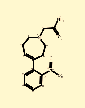 NC(=O)CN1CCC=C(c2ccccc2[N+](=O)[O-])CC1